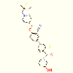 CCC(F)(CC)CN1CCC(COc2ccc(-c3ccc(C(=O)N4CCCC(O)C4)c(F)c3)cc2C#N)CC1